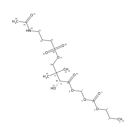 CCCOC(=O)OCOC(=O)[C@H](O)C(C)(C)COS(=O)(=O)CCCNC(C)=O